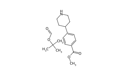 CC(C)(C)OC=O.COC(=O)c1ccc(C2CCNCC2)cc1